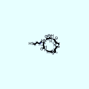 CC(C)C1NC(=O)[C@]2(C)CSC(=N2)c2csc(n2)CNC(=O)C[C@@H](/C=C/CCS)NC1=O